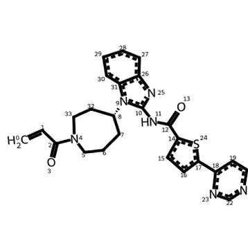 C=CC(=O)N1CCC[C@@H](n2c(NC(=O)c3ccc(-c4ccncn4)s3)nc3ccccc32)CC1